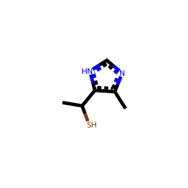 Cc1nc[nH]c1C(C)S